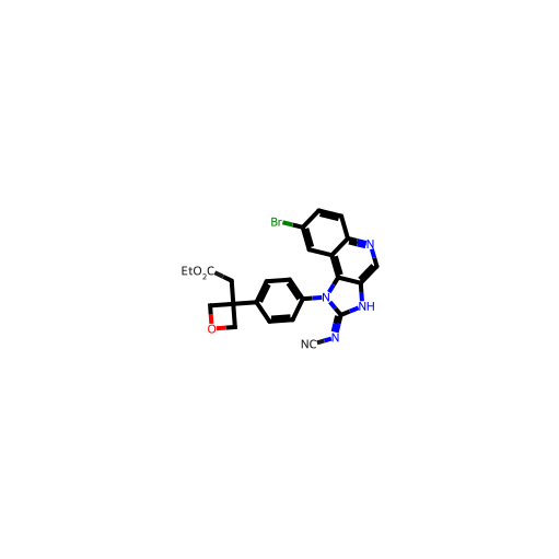 CCOC(=O)CC1(c2ccc(-n3/c(=N\C#N)[nH]c4cnc5ccc(Br)cc5c43)cc2)COC1